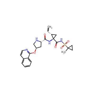 C=C[C@@H]1C[C@]1(NC(=O)[C@@H]1C[C@@H](Oc2nccc3ccccc23)CN1)C(=O)NS(=O)(=O)C1(C)CC1